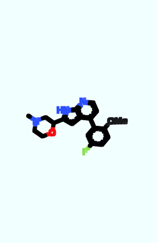 COc1ccc(F)cc1-c1ccnc2[nH]c(C3CN(C)CCO3)cc12